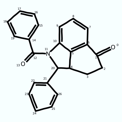 O=C1CCC2c3c1cccc3N(C(=O)c1ccccc1)C2c1ccccc1